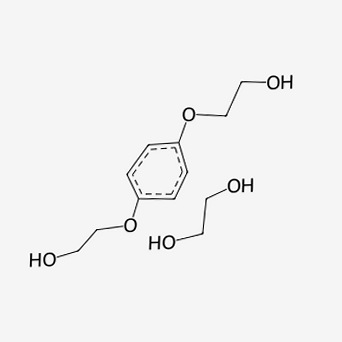 OCCO.OCCOc1ccc(OCCO)cc1